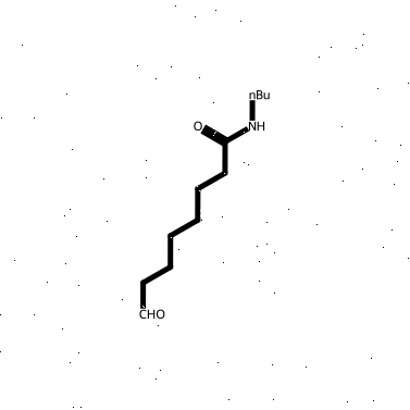 CCCCNC(=O)CCCCCCC=O